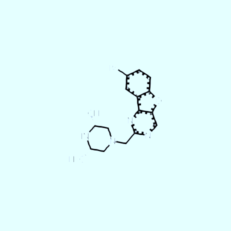 C[C@@H]1CN(Cc2ncc3oc4ccc(Br)cc4c3n2)C[C@H](C)N1